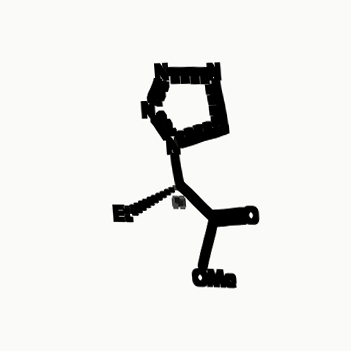 CC[C@@H](C(=O)OC)n1cnnn1